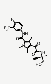 C#C[C@](C)(CO)NC(=O)C(=O)c1c(C)c(C(=O)Nc2ccc(F)c(C(F)(F)F)c2)n(C)c1C